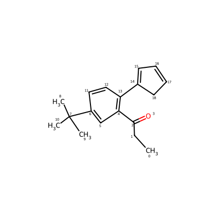 CCC(=O)c1cc(C(C)(C)C)ccc1C1=CC=CC1